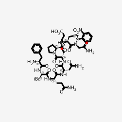 CC[C@H](C)[C@H](NC(=O)[C@H](N)Cc1ccccc1)C(=O)N[C@@H](CCC(N)=O)C(=O)N[C@@H](CC(N)=O)C(=O)N[C@@H](CCSCCC(=O)O)C(=O)N1CCC[C@H]1C(=O)N[C@@H](CC(C)C)C(=O)N(CC(N)=O)Sc1ccccc1[N+](=O)[O-]